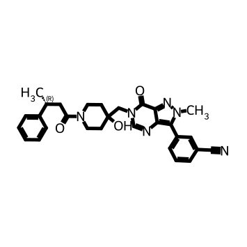 C[C@H](CC(=O)N1CCC(O)(Cn2cnc3c(-c4cccc(C#N)c4)n(C)nc3c2=O)CC1)c1ccccc1